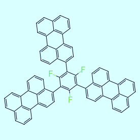 Fc1c(-c2ccc3c4cccc5cccc(c6cccc2c63)c54)c(F)c(-c2ccc3c4cccc5cccc(c6cccc2c63)c54)c(F)c1-c1ccc2c3cccc4cccc(c5cccc1c52)c43